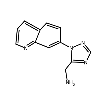 NCc1ncnn1-c1ccc2cccnc2c1